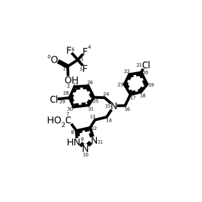 O=C(O)C(F)(F)F.O=C(O)c1[nH]nnc1CCN(Cc1ccc(Cl)cc1)Cc1ccc(Cl)cc1